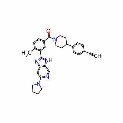 C#Cc1ccc(C2CCN(C(=O)c3ccc(C)c(-c4nc5cc(N6CCCC6)ncc5[nH]4)c3)CC2)cc1